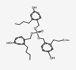 CCCCc1cc(O)ccc1COP(=O)(OCc1ccc(O)cc1CCCC)OCc1ccc(O)cc1CCCC